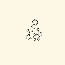 O=C(ON1C(=O)CCC1=O)[C@@H]1CCCN1C(=O)CC1Cc2ccccc2C1